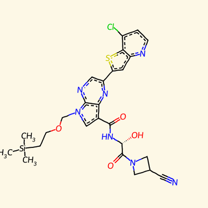 C[Si](C)(C)CCOCn1cc(C(=O)N[C@H](O)C(=O)N2CC(C#N)C2)c2nc(-c3cc4nccc(Cl)c4s3)cnc21